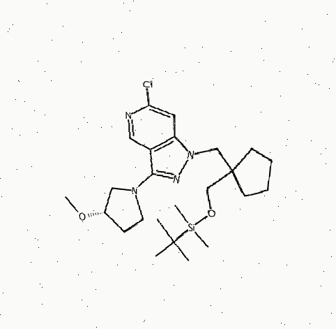 CO[C@H]1CCN(c2nn(CC3(CO[Si](C)(C)C(C)(C)C)CCCC3)c3cc(Cl)ncc23)C1